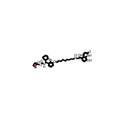 O=C(NC(c1ccccc1)c1cccc(OCCCCCCCCCNC[C@H](O)c2ccc(O)c3[nH]c(=O)ccc23)c1Br)O[C@H]1CN2CCC1CC2